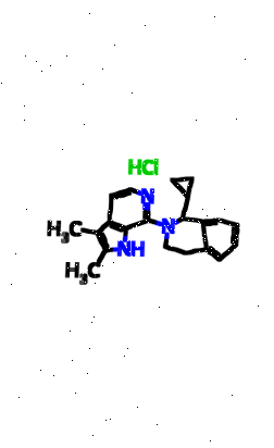 Cc1[nH]c2c(N3CCc4ccccc4C3C3CC3)nccc2c1C.Cl